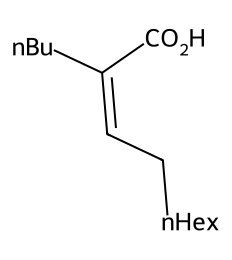 CCCCCCC/C=C(/CCCC)C(=O)O